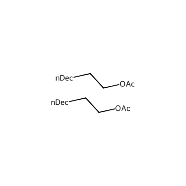 CCCCCCCCCCCCOC(C)=O.CCCCCCCCCCCCOC(C)=O